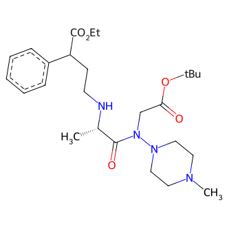 CCOC(=O)C(CCN[C@@H](C)C(=O)N(CC(=O)OC(C)(C)C)N1CCN(C)CC1)c1ccccc1